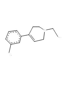 C[C](C)CN1CC=C(c2cccc(C#N)c2)CC1